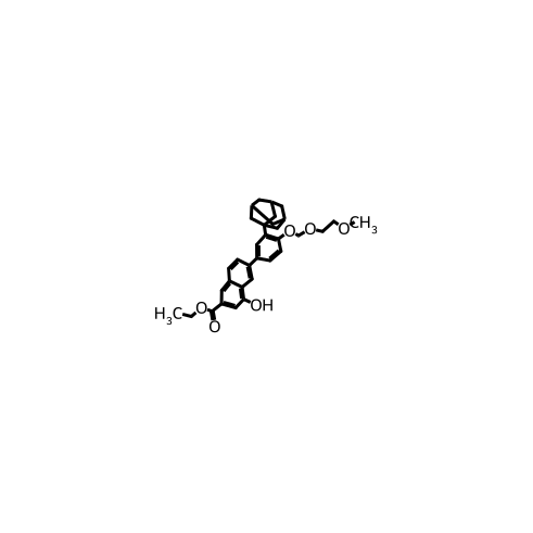 CCOC(=O)c1cc(O)c2cc(-c3ccc(OCOCCOC)c(C45CC6CC(CC(C6)C4)C5)c3)ccc2c1